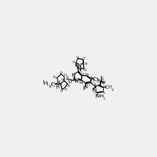 Cc1cc(N)nc(-c2c(Cl)cc3c(N4CC5CCC(C4)N5)nc(OC[C@]45CCC[C@H]4N(C)CCC5)nc3c2F)c1C(F)(F)F